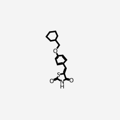 O=C1NC(=O)C(=Cc2ccc(OCC3CCCCC3)cc2)S1